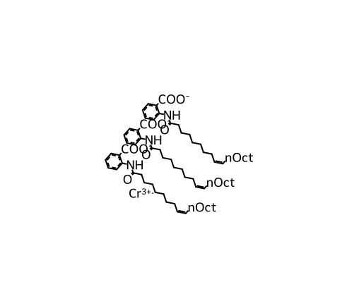 CCCCCCCC/C=C\CCCCCCCC(=O)Nc1ccccc1C(=O)[O-].CCCCCCCC/C=C\CCCCCCCC(=O)Nc1ccccc1C(=O)[O-].CCCCCCCC/C=C\CCCCCCCC(=O)Nc1ccccc1C(=O)[O-].[Cr+3]